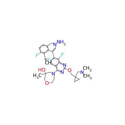 C#Cc1c(F)ccc2c1C(c1c(F)cc3c(N4CCOCC(C)(O)C4)nc(OCC4(CN(C)C)CC4)nc3c1F)=CN(N)C2